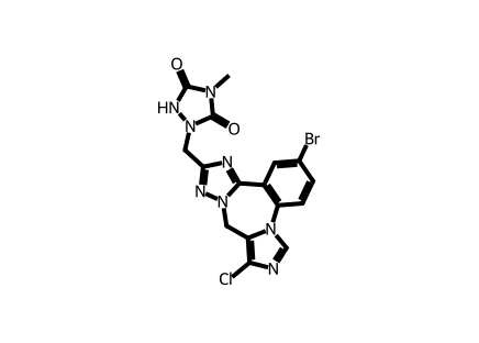 Cn1c(=O)[nH]n(Cc2nc3n(n2)Cc2c(Cl)ncn2-c2ccc(Br)cc2-3)c1=O